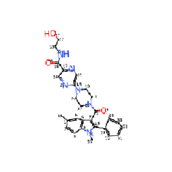 Cc1ccc2c(c1)c(C(=O)N1CCN(c3cnc(C(=O)NCCO)cn3)CC1)c(-c1ccccc1)n2C